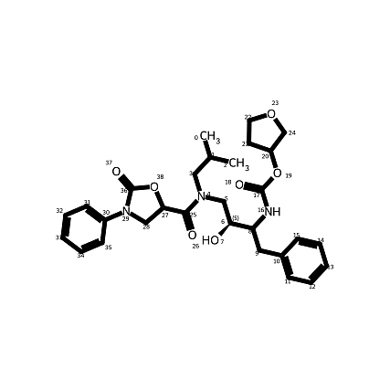 CC(C)CN(C[C@H](O)C(Cc1ccccc1)NC(=O)OC1CCOC1)C(=O)C1CN(c2ccccc2)C(=O)O1